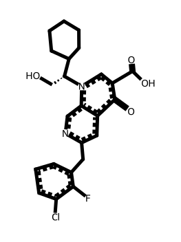 O=C(O)c1cn([C@H](CO)C2CCCCC2)c2cnc(Cc3cccc(Cl)c3F)cc2c1=O